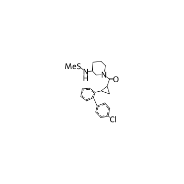 CSNC1CCCN(C(=O)C2CC2c2ccccc2-c2ccc(Cl)cc2)C1